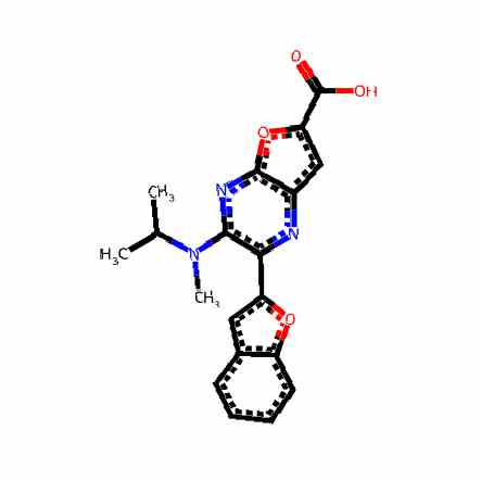 CC(C)N(C)c1nc2oc(C(=O)O)cc2nc1-c1cc2ccccc2o1